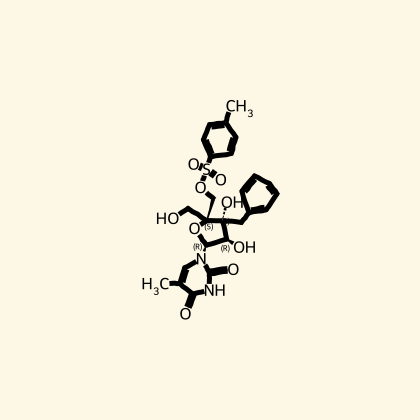 Cc1ccc(S(=O)(=O)OC[C@]2(CO)O[C@@H](n3cc(C)c(=O)[nH]c3=O)[C@H](O)[C@]2(O)Cc2ccccc2)cc1